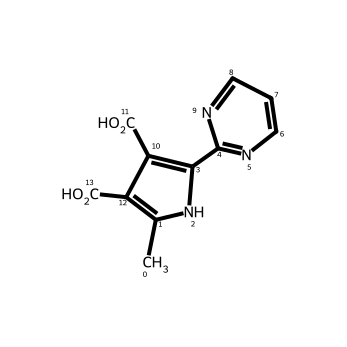 Cc1[nH]c(-c2ncccn2)c(C(=O)O)c1C(=O)O